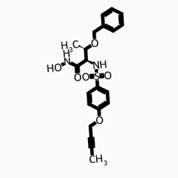 CC#CCOc1ccc(S(=O)(=O)N[C@@H](C(=O)NO)[C@H](C)OCc2ccccc2)cc1